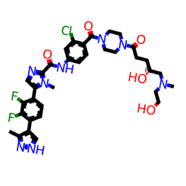 Cc1n[nH]cc1-c1ccc(-c2cnc(C(=O)Nc3ccc(C(=O)N4CCN(C(=O)CC[C@@H](O)CN(C)CCO)CC4)c(Cl)c3)n2C)c(F)c1F